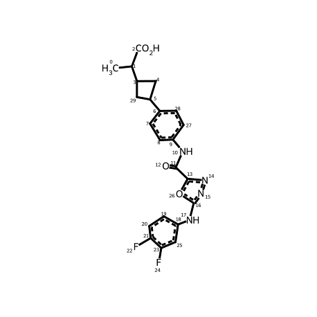 CC(C(=O)O)C1CC(c2ccc(NC(=O)c3nnc(Nc4ccc(F)c(F)c4)o3)cc2)C1